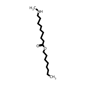 CCCCCCCCOC(=O)CCCCCCCCNC